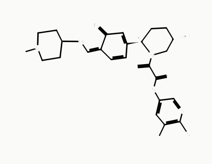 CCc1cc(NC(=O)C(=O)N2C[C@@H](C)CC[C@@H]2C2=CC(=N)/C(=C\NC3CCN(C)CC3)C=C2)cnc1N